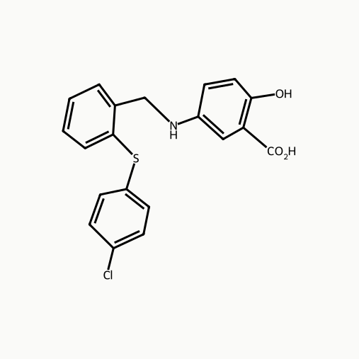 O=C(O)c1cc(NCc2ccccc2Sc2ccc(Cl)cc2)ccc1O